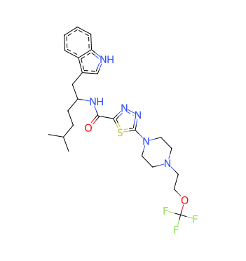 CC(C)CCC(Cc1c[nH]c2ccccc12)NC(=O)c1nnc(N2CCN(CCOC(F)(F)F)CC2)s1